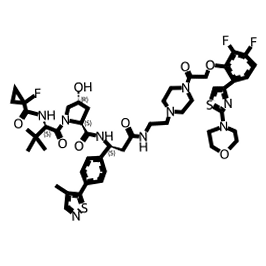 Cc1cnsc1-c1ccc([C@H](CC(=O)NCCN2CCN(C(=O)COc3c(-c4csc(N5CCOCC5)n4)ccc(F)c3F)CC2)NC(=O)[C@@H]2C[C@@H](O)CN2C(=O)[C@@H](NC(=O)C2(F)CC2)C(C)(C)C)cc1